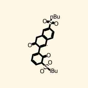 CCCCS(=O)(=O)c1ccc2c(c1)CC(=O)C(C1=CC=CC(S(=O)(=O)C(C)CC)C1=O)=[C]2